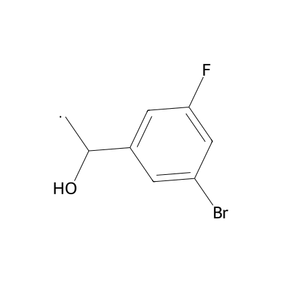 [CH2]C(O)c1cc(F)cc(Br)c1